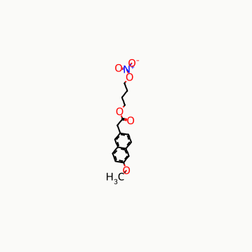 COc1ccc2cc(CC(=O)OCCCCO[N+](=O)[O-])ccc2c1